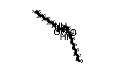 CCCCCCCCCNC(=O)c1ccc(C(=O)NCCCCCCCCC)o1